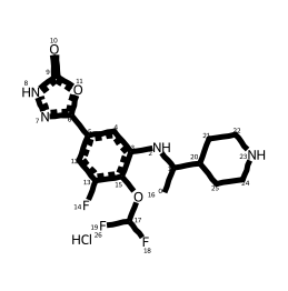 CC(Nc1cc(-c2n[nH]c(=O)o2)cc(F)c1OC(F)F)C1CCNCC1.Cl